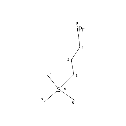 CC(C)CCCS(C)(C)C